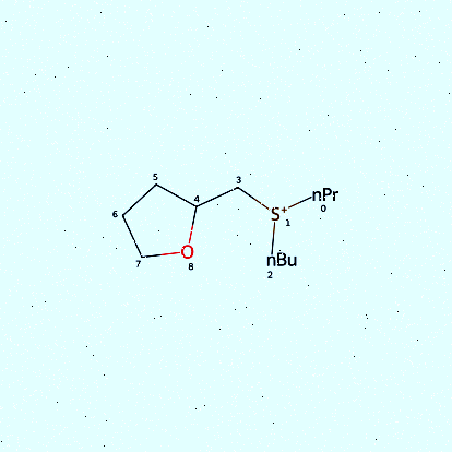 C[CH]C[S+](CCCC)CC1CCCO1